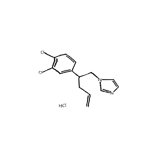 C=CCC(Cn1ccnc1)c1ccc(Cl)c(Cl)c1.Cl